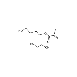 C=C(C)C(=O)OCCCCO.OCCO